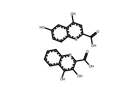 O=C(O)c1cc(O)c2cc(O)ccc2n1.O=C(O)c1nc2ccccc2c(O)c1O